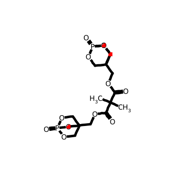 CC(C)(C(=O)OCC12COP(=O)(OC1)OC2)C(=O)OCC12COP(=O)(OC1)OC2